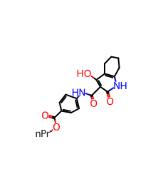 CCCOC(=O)c1ccc(NC(=O)c2c(O)c3c([nH]c2=O)CCCC3)cc1